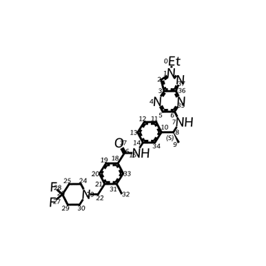 CCn1cc2ncc(N[C@@H](C)c3cccc(NC(=O)c4ccc(CN5CCC(F)(F)CC5)c(C)c4)c3)nc2n1